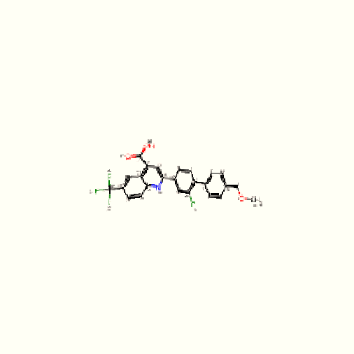 COCc1ccc(-c2ccc(-c3cc(C(=O)O)c4cc(C(F)(F)F)ccc4n3)cc2F)cc1